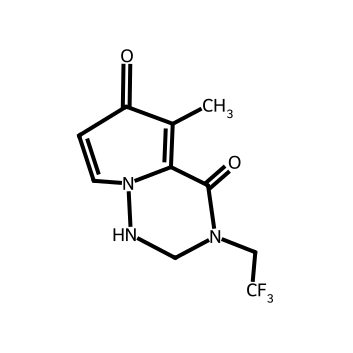 Cc1c2n(ccc1=O)NCN(CC(F)(F)F)C2=O